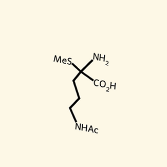 CSC(N)(CCCNC(C)=O)C(=O)O